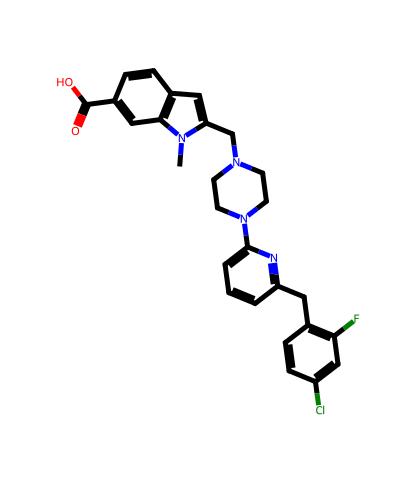 Cn1c(CN2CCN(c3cccc(Cc4ccc(Cl)cc4F)n3)CC2)cc2ccc(C(=O)O)cc21